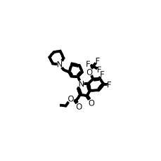 CCOC(=O)c1cn(-c2cccc(CN3CCCCC3)c2)c2c(OC(F)(F)F)c(F)c(F)cc2c1=O